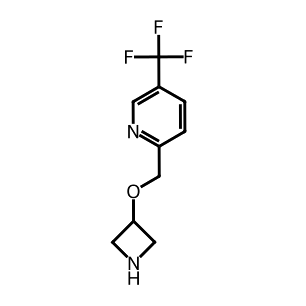 FC(F)(F)c1ccc(COC2CNC2)nc1